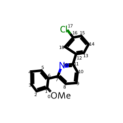 COc1ccccc1-c1cccc(-c2cccc(Cl)c2)n1